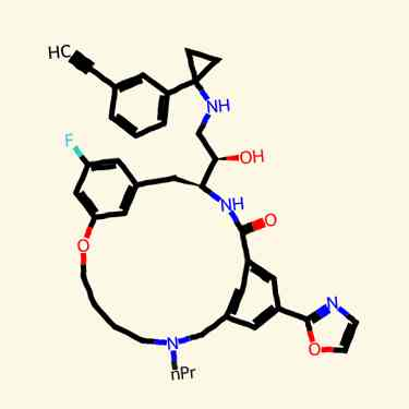 C#Cc1cccc(C2(NC[C@@H](O)[C@@H]3Cc4cc(F)cc(c4)OCCCCN(CCC)Cc4cc(cc(-c5ncco5)c4)C(=O)N3)CC2)c1